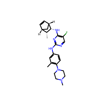 Cc1cc(Nc2ncc(F)c(N[C@@H]3[C@H](C)[C@@H]4C=C[C@H]3C4)n2)ccc1N1CCN(C)CC1